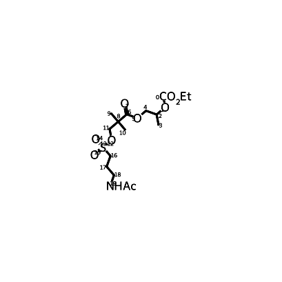 CCOC(=O)OC(C)COC(=O)C(C)(C)COS(=O)(=O)CCCNC(C)=O